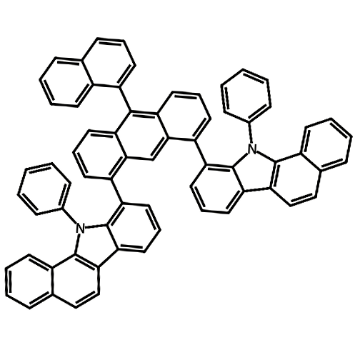 c1ccc(-n2c3c(-c4cccc5c(-c6cccc7ccccc67)c6cccc(-c7cccc8c9ccc%10ccccc%10c9n(-c9ccccc9)c78)c6cc45)cccc3c3ccc4ccccc4c32)cc1